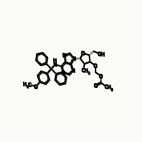 COc1ccc(C(Nc2ncnc3c2ncn3[C@@H]2O[C@H](CO)C(OCOC(C)=O)C2C)(c2ccccc2)c2ccccc2)cc1